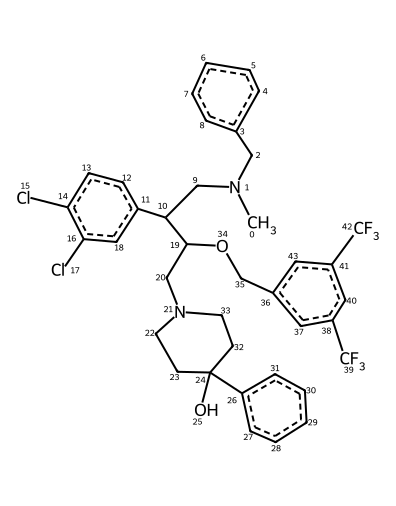 CN(Cc1ccccc1)CC(c1ccc(Cl)c(Cl)c1)C(CN1CCC(O)(c2ccccc2)CC1)OCc1cc(C(F)(F)F)cc(C(F)(F)F)c1